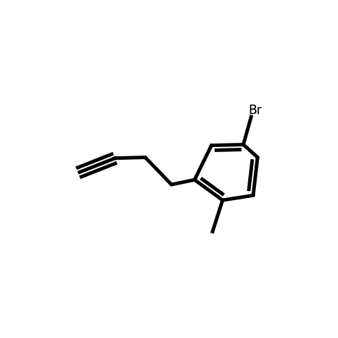 C#CCCc1cc(Br)ccc1C